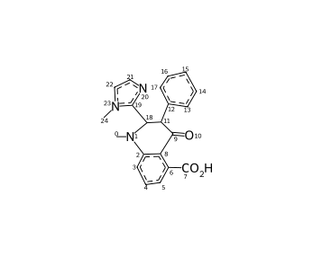 CN1c2cccc(C(=O)O)c2C(=O)C(c2ccccc2)C1c1nccn1C